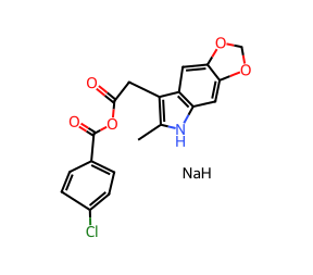 Cc1[nH]c2cc3c(cc2c1CC(=O)OC(=O)c1ccc(Cl)cc1)OCO3.[NaH]